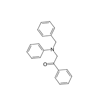 O=C(CN(Cc1ccccc1)c1ccccc1)c1ccccc1